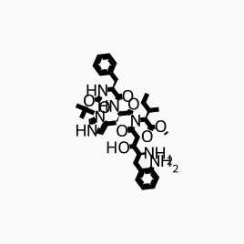 CCC(C)[C@@H](C(=O)OC)N(C(=O)CC(O)[C@@H](N)Cc1ccccc1N)C(=O)[C@H](Cc1c[nH]cn1)NC(=O)[C@H](Cc1ccccc1)NC(=O)OC(C)(C)C